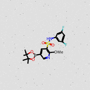 COc1ncc(B2OC(C)(C)C(C)(C)O2)cc1S(=O)(=O)Nc1cc(F)cc(F)c1